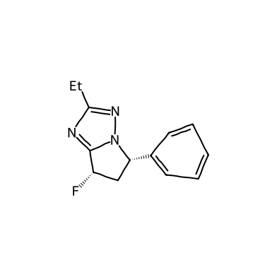 CCc1nc2n(n1)[C@H](c1ccccc1)C[C@@H]2F